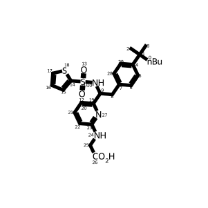 CCCCC(C)(C)c1ccc(CC(NS(=O)(=O)c2cccs2)c2cccc(NCC(=O)O)n2)cc1